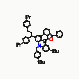 CC(C)c1ccc(CC[C@H](c2ccc(C(C)C)cc2)c2cc3c4c(c2)N(Cc2ccc(C(C)(C)C)cc2)c2ccc(C(C)(C)C)cc2B4c2oc(-c4ccccc4)c4cccc-3c24)cc1